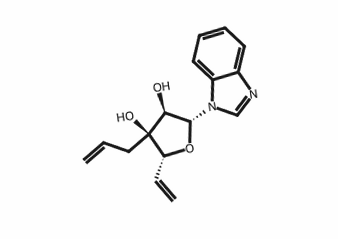 C=CC[C@@]1(O)[C@@H](C=C)O[C@@H](n2cnc3ccccc32)[C@@H]1O